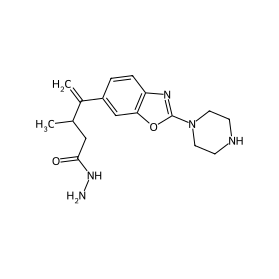 C=C(c1ccc2nc(N3CCNCC3)oc2c1)C(C)CC(=O)NN